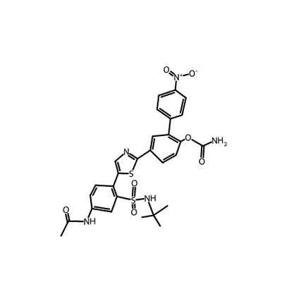 CC(=O)Nc1ccc(-c2cnc(-c3ccc(OC(N)=O)c(-c4ccc([N+](=O)[O-])cc4)c3)s2)c(S(=O)(=O)NC(C)(C)C)c1